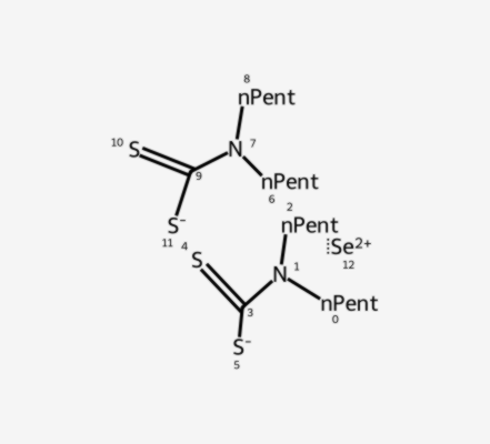 CCCCCN(CCCCC)C(=S)[S-].CCCCCN(CCCCC)C(=S)[S-].[Se+2]